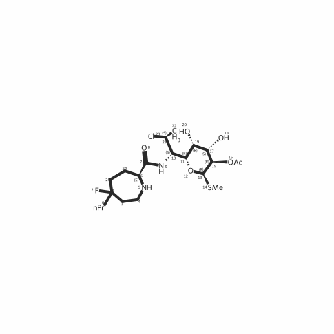 CCCC1(F)CCN[C@H](C(=O)N[C@@H]([C@H]2O[C@H](SC)[C@H](OC(C)=O)[C@@H](O)[C@H]2O)[C@H](C)Cl)CC1